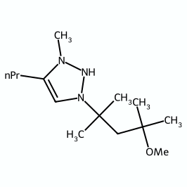 CCCC1=CN(C(C)(C)CC(C)(C)OC)NN1C